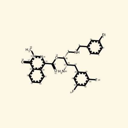 CCc1cccc(CNC[C@@H](OC(=O)c2nn(C)c(=O)c3ccccc23)[C@@H](N)Cc2cc(F)cc(F)c2)c1